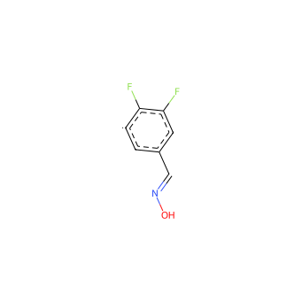 ON=Cc1c[c]c(F)c(F)c1